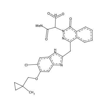 CNC(=O)C(n1nc(Cc2nc3cc(OCC4(C)CC4)c(Cl)cc3[nH]2)c2ccccc2c1=O)[SH](=O)=O